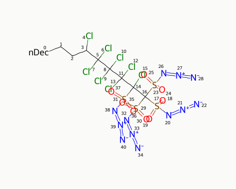 CCCCCCCCCCCCC(Cl)C(Cl)(Cl)C(Cl)(Cl)C(Cl)(Cl)C(Cl)(C(S(=O)(=O)N=[N+]=[N-])(S(=O)(=O)N=[N+]=[N-])S(=O)(=O)N=[N+]=[N-])S(=O)(=O)N=[N+]=[N-]